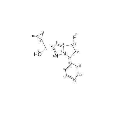 O[C@@H](c1cc2n(n1)[C@@H](c1ccccc1)C[C@H]2F)C1CC1